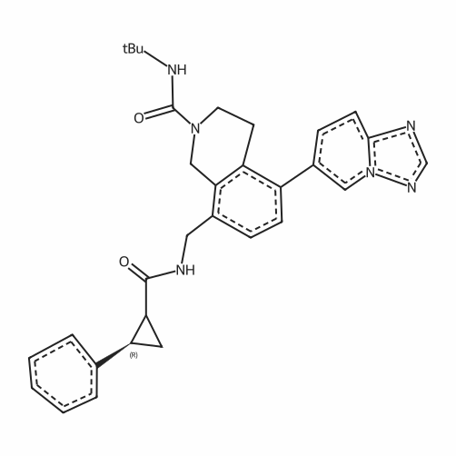 CC(C)(C)NC(=O)N1CCc2c(-c3ccc4ncnn4c3)ccc(CNC(=O)C3C[C@H]3c3ccccc3)c2C1